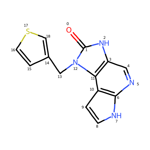 O=c1[nH]c2cnc3[nH]ccc3c2n1Cc1ccsc1